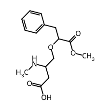 CNC(COC(Cc1ccccc1)C(=O)OC)CC(=O)O